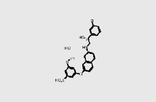 CCCOc1cc(Oc2ccc3c(c2)C[C@@H](NC[C@H](O)c2cccc(Cl)c2)CC3)cc(C(=O)O)c1.Cl